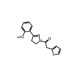 COc1ccccc1C1=NN(C(=O)Cc2cccs2)CC1